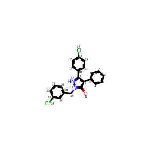 O=c1c(-c2ccccc2)c(-c2ccc(Cl)cc2)[nH]n1Cc1cccc(Cl)c1